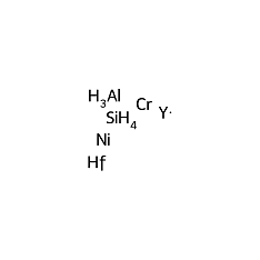 [AlH3].[Cr].[Hf].[Ni].[SiH4].[Y]